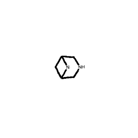 C1NCC2CC1[N]2